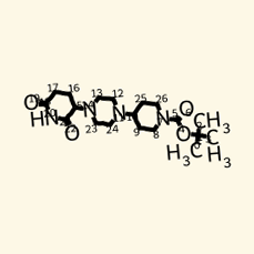 CC(C)(C)OC(=O)N1CCC(N2CCN(C3CCC(=O)NC3=O)CC2)CC1